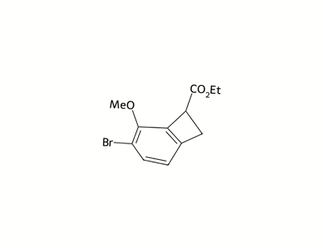 CCOC(=O)C1Cc2ccc(Br)c(OC)c21